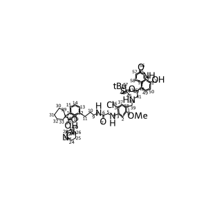 COc1cc(NCC(=O)NCCCc2cccc(C3(C(=O)O[C@H]4CN5CCC4CC5)CCCCC3)c2)c(Cl)cc1CNC[C@@H](O[Si](C)(C)C(C)(C)C)c1ccc(O)c2[nH]c(=O)ccc12